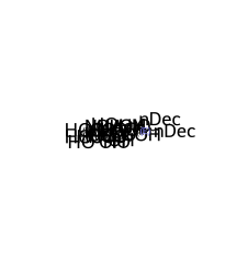 CCCCCCCCCCCCC/C=C/[C@@H](O)[C@H](CO[C@@H]1O[C@H](CO)[C@@H](O[C@@H]2O[C@H](CO)[C@H](O[C@H]3O[C@H](CO)[C@H](O)[C@H](O[C@@H]4O[C@H](CO)[C@H](O)[C@H](O)[C@H]4NC(C)=O)[C@H]3O)[C@H](O)[C@H]2O)[C@H](O)C1O)NC(=O)CCCCCCCCCCC